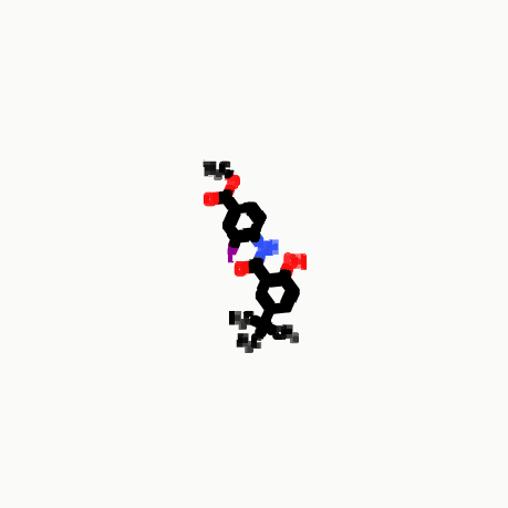 COC(=O)c1ccc(NC(=O)c2cc(C(C)(C)C)ccc2O)c(I)c1